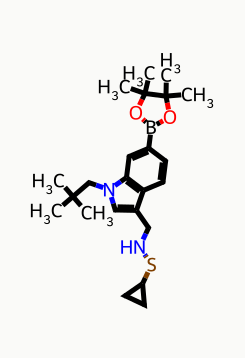 CC(C)(C)Cn1cc(CNSC2CC2)c2ccc(B3OC(C)(C)C(C)(C)O3)cc21